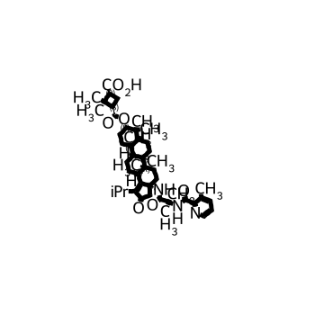 Cc1cccnc1C(=O)NC(C)(C)C(=O)N[C@@]12CC[C@]3(C)[C@H](CC[C@@H]4[C@@]5(C)CC[C@H](OC(=O)[C@H]6C[C@@H](C(=O)O)C6(C)C)C(C)(C)[C@@H]5CC[C@]43C)C1=C(C(C)C)C(=O)C2